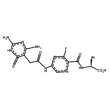 CC(C)[C@H](NC(=O)c1ncc(NC(=O)Cc2c(N)nc(N)[nH]c2=O)cc1F)C(=O)O